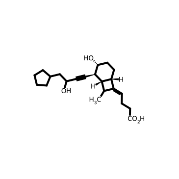 CC1C(=CCCC(=O)O)[C@H]2CC[C@@H](O)[C@H](C#CC(O)CC3CCCC3)[C@@H]12